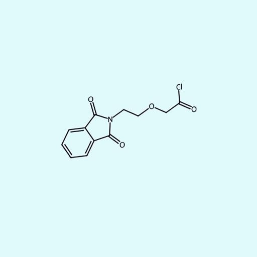 O=C(Cl)COCCN1C(=O)c2ccccc2C1=O